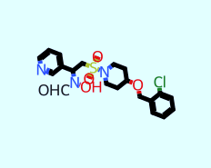 O=CN(O)C(CS(=O)(=O)N1CCC(OCc2ccccc2Cl)CC1)c1cccnc1